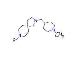 CC(C)N1CCC2(CCN(CC3CCN(C)CC3)C2)CC1